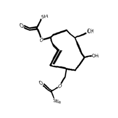 CSC(=O)OC1/C=C/C(OC(=O)S)CC(O)C(O)C1